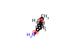 C[C@@H]1CC[C@@]2(OC1)O[C@H]1C[C@H]3[C@@H]4CC=C5C[C@@H](OC(=O)CN)CC[C@]5(C)[C@H]4CC[C@]3(C)[C@H]1[C@@H]2C